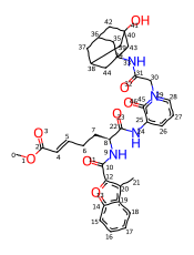 COC(=O)/C=C/CC[C@H](NC(=O)c1oc2ccccc2c1C)C(=O)Nc1cccn(CC(=O)NC23CC4CC(CC(O)(C4)C2)C3)c1=O